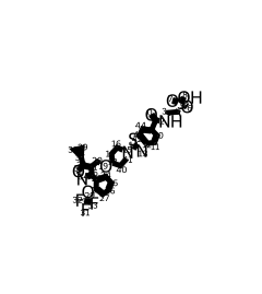 O=C(NCCS(=O)(=O)O)c1ccc2nc(N3CCC(OCc4c(-c5ccccc5OC(F)(F)F)noc4C4CC4)CC3)sc2c1